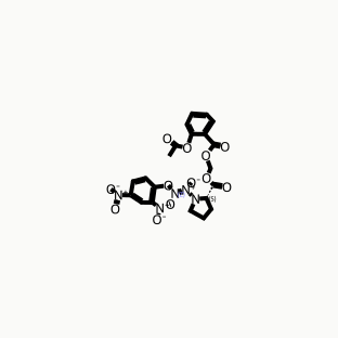 CC(=O)Oc1ccccc1C(=O)OCOC(=O)[C@@H]1CCCN1/[N+]([O-])=N/Oc1ccc([N+](=O)[O-])cc1[N+](=O)[O-]